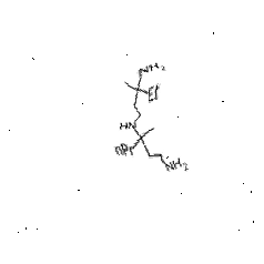 CCCC(C)(CCN)NCCC(C)(N)CC